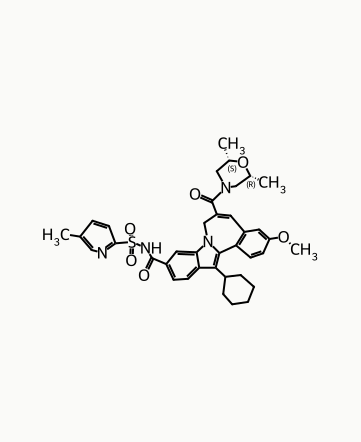 COc1ccc2c(c1)C=C(C(=O)N1C[C@@H](C)O[C@@H](C)C1)Cn1c-2c(C2CCCCC2)c2ccc(C(=O)NS(=O)(=O)c3ccc(C)cn3)cc21